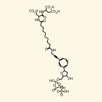 O=C(O)CC(NC(=O)C(CC(=O)O)NC(=O)CCCCSSCCC(=O)NCC#CC1=C/C=C\C=C(C2CC(O)C(COP(=O)(O)OP(=O)(O)OP(=O)(O)O)O2)/C=C\1)C(=O)O